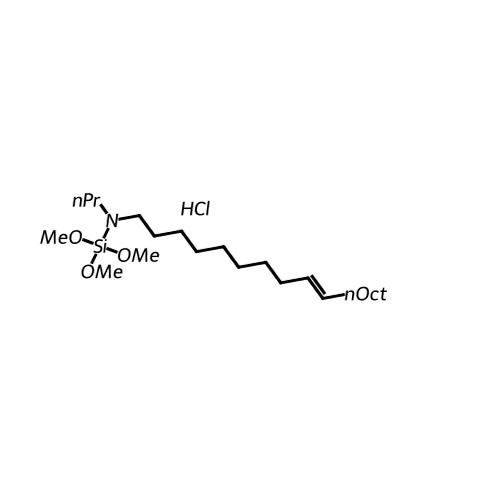 CCCCCCCCC=CCCCCCCCCN(CCC)[Si](OC)(OC)OC.Cl